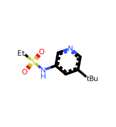 CCS(=O)(=O)Nc1cncc(C(C)(C)C)c1